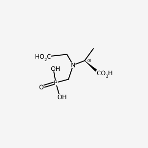 C[C@@H](C(=O)O)N(CC(=O)O)CP(=O)(O)O